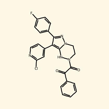 O=C(C(=O)N1CCn2nc(-c3ccc(F)cc3)c(-c3ccnc(Cl)c3)c2N1)c1ccccc1